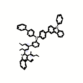 C=Cc1c(/C(C)=C/CC)c(/C(=C/C(=C\CC)c2cccc(N(c3ccc(-c4ccccc4)cc3)c3ccc(-c4ccc5c(c4)c4ccccc4n5-c4ccccc4)cc3)c2)CC)nc2ccccc12